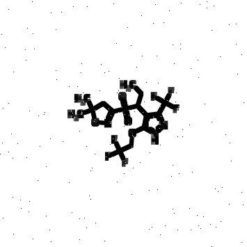 CCC(c1c(C(F)(F)F)n[nH]c1OCC(F)(F)F)S(=O)(=O)C1=NOC(C)(C)C1